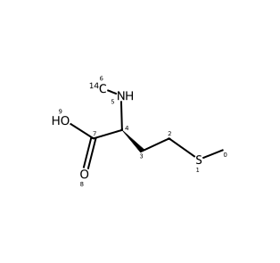 CSCC[C@H](N[14CH3])C(=O)O